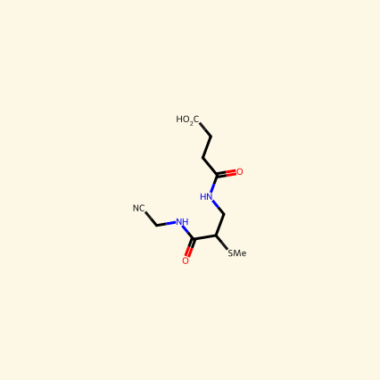 CSC(CNC(=O)CCC(=O)O)C(=O)NCC#N